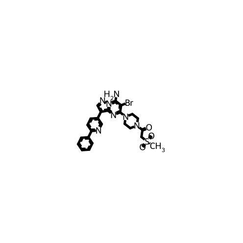 CS(=O)(=O)CC(=O)N1CCN(c2nc3c(-c4ccc(-c5ccccc5)nc4)cnn3c(N)c2Br)CC1